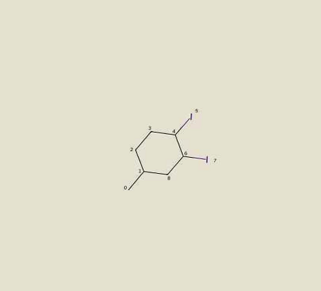 CC1CCC(I)C(I)C1